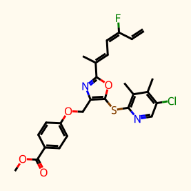 C=C/C(F)=C\C=C(/C)c1nc(COc2ccc(C(=O)OC)cc2)c(Sc2ncc(Cl)c(C)c2C)o1